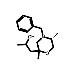 CC(O)CC1(C)CN(Cc2ccccc2)[C@H](C)CO1